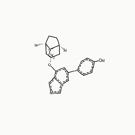 CN1[C@@H]2CC[C@H]1C[C@H](Oc1cc(-c3ccc(O)cc3)cn3cncc13)C2